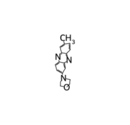 Cc1ccc2nc3cc(N4CCOCC4)ccc3nc2c1